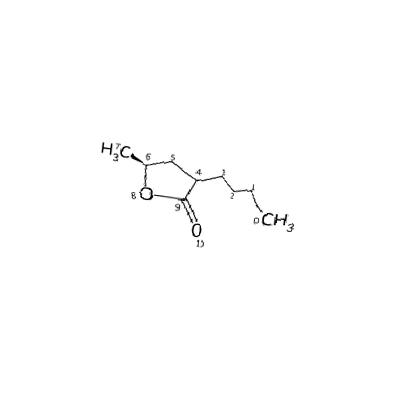 CCCCC1C[C@H](C)OC1=O